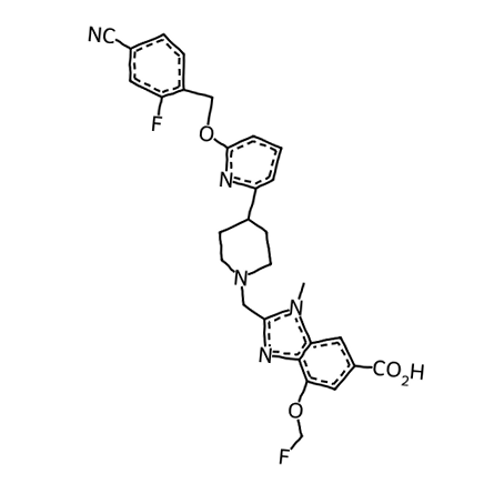 Cn1c(CN2CCC(c3cccc(OCc4ccc(C#N)cc4F)n3)CC2)nc2c(OCF)cc(C(=O)O)cc21